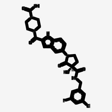 O=C(O)N1CCN(C(=O)c2cc3cc(N4CC[C@@](O)(C(=O)NCc5cc(F)cc(Cl)c5)C4=O)ccc3[nH]2)CC1